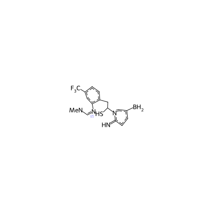 Bc1ccc(=N)n(C(S)Cc2ccc(C(F)(F)F)cc2/N=C\NC)c1